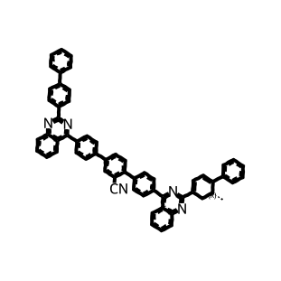 C[C@@H]1CC(c2nc(-c3ccc(-c4ccc(-c5ccc(-c6nc(-c7ccc(-c8ccccc8)cc7)nc7ccccc67)cc5)cc4C#N)cc3)c3ccccc3n2)=CC=C1c1ccccc1